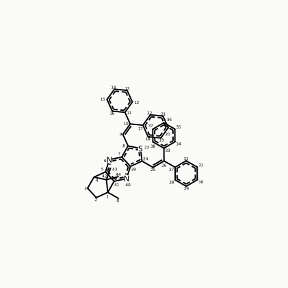 CC12CCC(c3nc4c(C=C(c5ccccc5)c5ccccc5)sc(C=C(c5ccccc5)c5ccccc5)c4nc31)C2(C)C